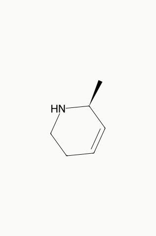 C[C@H]1C=CCCN1